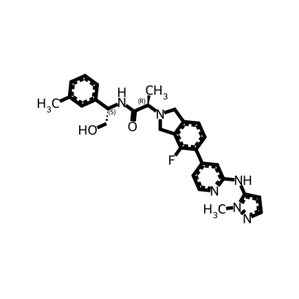 Cc1cccc([C@@H](CO)NC(=O)[C@@H](C)N2Cc3ccc(-c4ccnc(Nc5ccnn5C)c4)c(F)c3C2)c1